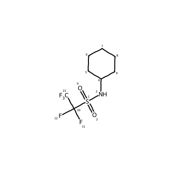 O=S(=O)(NC1CCCCC1)C(F)(F)C(F)(F)F